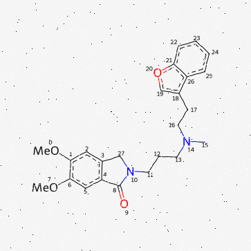 COc1cc2c(cc1OC)C(=O)N(CCCN(C)CCc1coc3ccccc13)C2